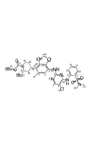 Cc1cc(Nc2ncc(Cl)c(Nc3ccccc3S(=O)(=O)N(C)C)n2)c2c(c1C1CCN(C(=O)OC(C)(C)C)C(C(C)(C)C)C1)OCO2